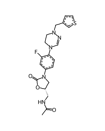 CC(=O)NC[C@H]1CN(c2ccc(N3C=NN(Cc4ccsc4)CC3)c(F)c2)C(=O)O1